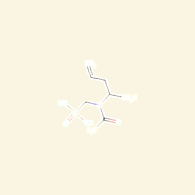 C=CCC(C(=O)O)N(CP(=O)(O)O)C(=O)C(F)(F)F